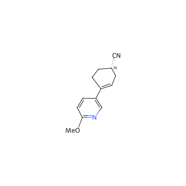 COc1ccc(C2=CC[C@@H](C#N)CC2)cn1